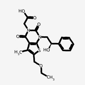 CCOCc1sc2c(c1C)c(=O)n(CC(=O)O)c(=O)n2C[C@H](O)c1ccccc1